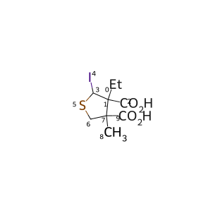 CCC1(C(=O)O)C(I)SCC1(C)C(=O)O